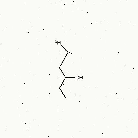 [2H][CH]CC(O)CC